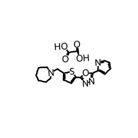 O=C(O)C(=O)O.c1ccc(-c2nnc(-c3ccc(CN4CCCCCC4)s3)o2)nc1